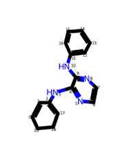 C1=CC(Nc2nccnc2Nc2ccccc2)=CCC1